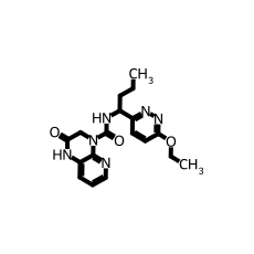 CCCC(NC(=O)N1CC(=O)Nc2cccnc21)c1ccc(OCC)nn1